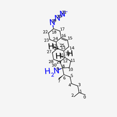 CC(C)CCC[C@@H](C)[C@@]1(N)CC[C@H]2[C@@H]3CC=C4C[C@H](N=[N+]=[N-])CC[C@]4(C)[C@H]3CC[C@@]21C